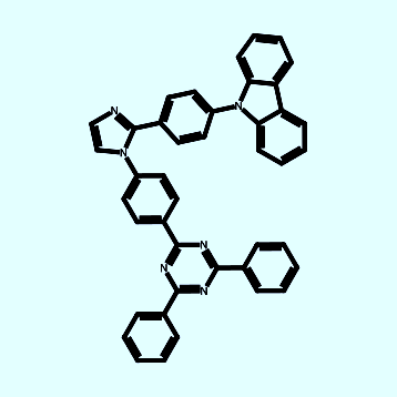 c1ccc(-c2nc(-c3ccccc3)nc(-c3ccc(-n4ccnc4-c4ccc(-n5c6ccccc6c6ccccc65)cc4)cc3)n2)cc1